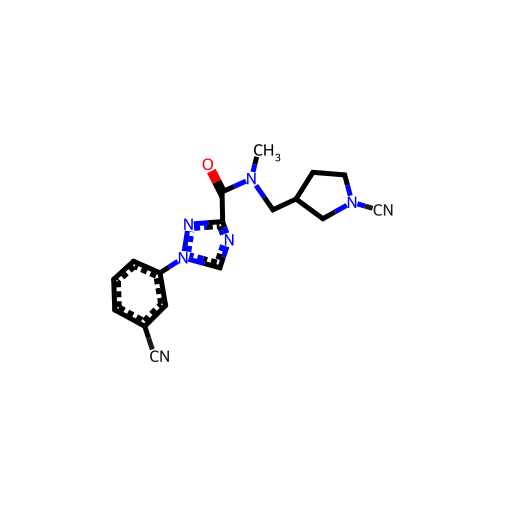 CN(CC1CCN(C#N)C1)C(=O)c1ncn(-c2cccc(C#N)c2)n1